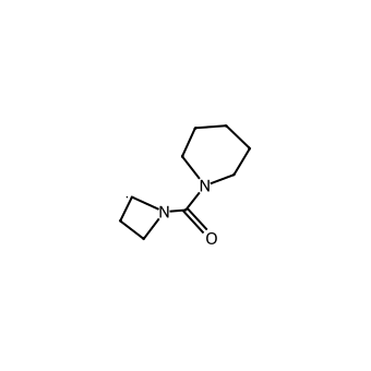 O=C(N1[CH]CC1)N1CCCCC1